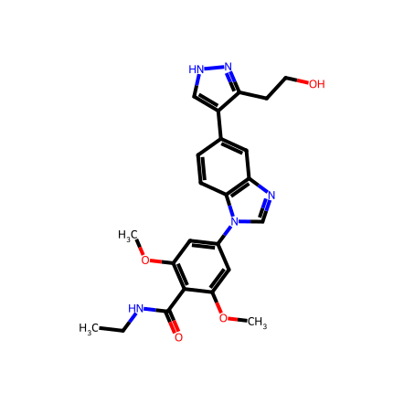 CCNC(=O)c1c(OC)cc(-n2cnc3cc(-c4c[nH]nc4CCO)ccc32)cc1OC